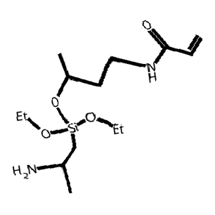 C=CC(=O)NCCC(C)O[Si](CC(C)N)(OCC)OCC